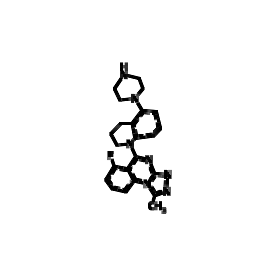 Cc1nnc2nc(N3CCCc4c(N5CCNCC5)cccc43)c3c(F)cccc3n12